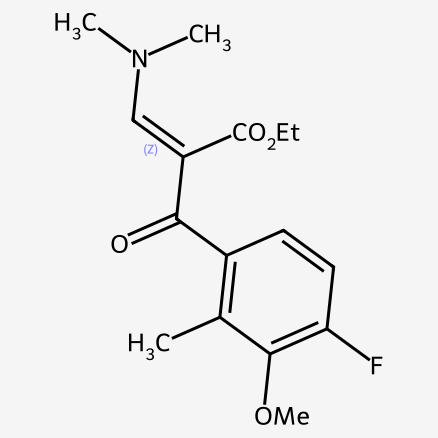 CCOC(=O)/C(=C\N(C)C)C(=O)c1ccc(F)c(OC)c1C